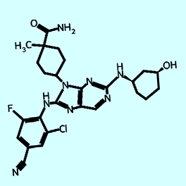 CC1(C(N)=O)CCC(n2c(Nc3c(F)cc(C#N)cc3Cl)nc3cnc(N[C@@H]4CCC[C@H](O)C4)nc32)CC1